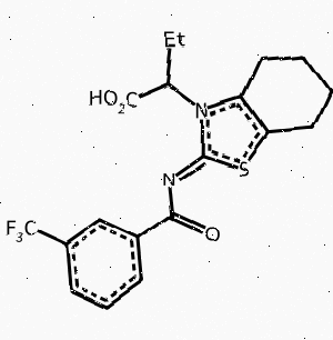 CCC(C(=O)O)n1c2c(sc1=NC(=O)c1cccc(C(F)(F)F)c1)CCCC2